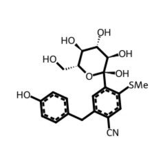 CSc1cc(C#N)c(Cc2ccc(O)cc2)cc1[C@]1(O)O[C@H](CO)[C@@H](O)[C@H](O)[C@H]1O